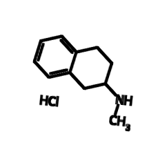 CNC1CCc2ccccc2C1.Cl